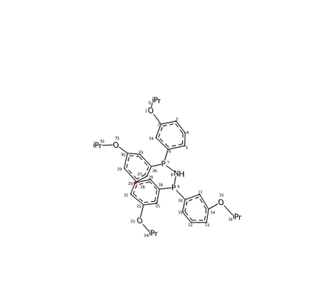 CC(C)Oc1cccc(P(NP(c2cccc(OC(C)C)c2)c2cccc(OC(C)C)c2)c2cccc(OC(C)C)c2)c1